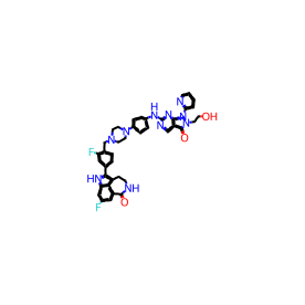 O=C1NCCc2c(-c3ccc(CN4CCN(c5ccc(Nc6ncc7c(=O)n(CCO)n(-c8ccccn8)c7n6)cc5)CC4)c(F)c3)[nH]c3cc(F)cc1c23